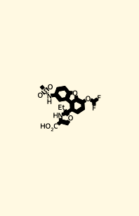 CCC1(c2ccc(OC(F)F)c3oc4ccc(NS(C)(=O)=O)cc4c23)NC(C(=O)O)=CO1